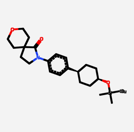 CC(C)(C)[Si](C)(C)O[C@H]1CC[C@@H](c2ccc(N3CCC4(CCOCC4)C3=O)cc2)CC1